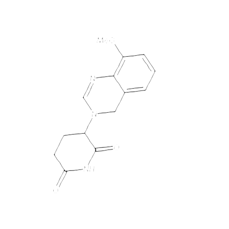 COc1cccc2c1N=CN(C1CCC(=O)NC1=O)C2